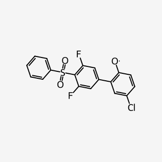 [O]c1ccc(Cl)cc1-c1cc(F)c(S(=O)(=O)c2ccccc2)c(F)c1